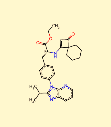 CCOC(=O)[C@H](Cc1ccc(-n2c(C(C)C)nc3cccnc32)cc1)NC1=CC(=O)C12CCCCC2